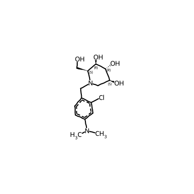 CN(C)c1ccc(CN2C[C@H](O)[C@@H](O)[C@H](O)[C@@H]2CO)c(Cl)c1